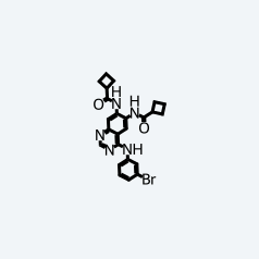 O=C(Nc1cc2ncnc(Nc3cccc(Br)c3)c2cc1NC(=O)C1CCC1)C1CCC1